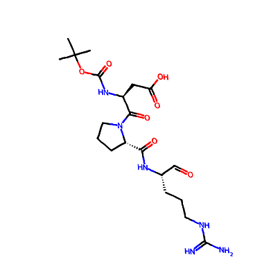 CC(C)(C)OC(=O)N[C@@H](CC(=O)O)C(=O)N1CCC[C@H]1C(=O)N[C@H](C=O)CCCNC(=N)N